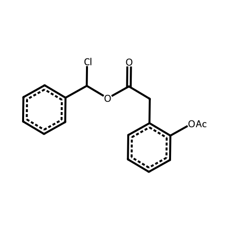 CC(=O)Oc1ccccc1CC(=O)OC(Cl)c1ccccc1